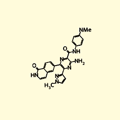 CNc1ccc(NC(=O)c2nc(-c3ccc4c(=O)[nH]ccc4c3)c(-c3ccn(C)n3)nc2N)cc1